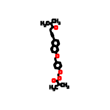 C=C(C)C(=O)CC#Cc1ccc2cc(OCc3ccc(OCOC(=O)C(=C)C)cc3)ccc2c1